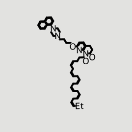 CC/C=C\C/C=C\C/C=C\C/C=C\C/C=C\C/C=C\CCC(=O)N1C(=O)CCc2ccc(OCCCCN3CCN(c4cccc5ccccc45)CC3)nc21